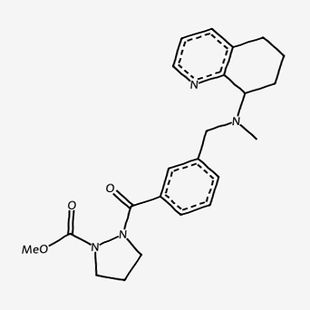 COC(=O)N1CCCN1C(=O)c1cccc(CN(C)C2CCCc3cccnc32)c1